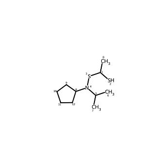 CC(S)SN(C(C)C)C1CCCC1